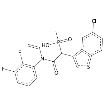 C=CN(C(=O)C(c1csc2ccc(Cl)cc12)P(C)(=O)O)c1cccc(F)c1F